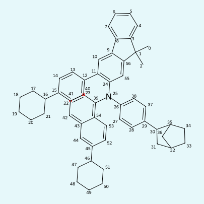 CC1(C)c2ccccc2-c2cc(-c3ccc(C4CCCCC4)cc3)c(N(c3ccc(C4CC5CCC4C5)cc3)c3cccc4cc(C5CCCCC5)ccc34)cc21